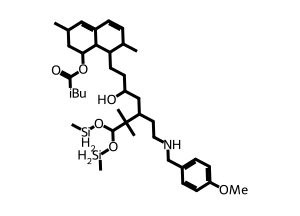 CCC(C)C(=O)OC1CC(C)C=C2C=CC(C)C(CCC(O)CC(CCNCc3ccc(OC)cc3)C(C)(C)C(O[SiH2]C)O[SiH2]C)C21